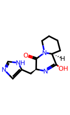 O=C1[C@H](Cc2cnc[nH]2)N=C(O)[C@@H]2CCCCN12